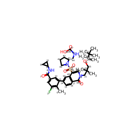 Cc1c(F)cc(C(=O)NC2CC2)cc1-c1ccc2c(=O)n(CC(C)(C)CO[Si](C)(C)C(C)(C)C)cc(S(=O)(=O)N3CCC[C@@H]3CNC(=O)O)c2c1